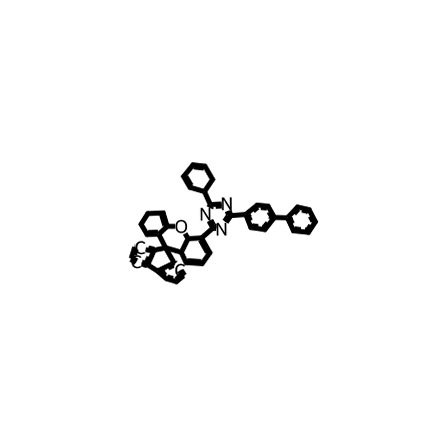 C1=CCC(c2nc(C3=CC=CC4C3OC3=CCCC=C3C43c4ccccc4-c4ccccc43)nc(-c3ccc(-c4ccccc4)cc3)n2)C=C1